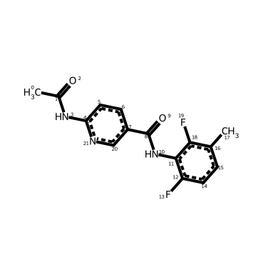 CC(=O)Nc1ccc(C(=O)Nc2c(F)ccc(C)c2F)cn1